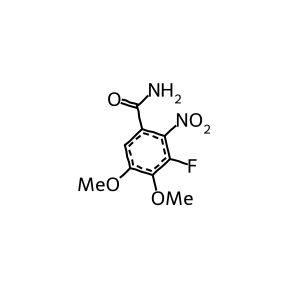 COc1cc(C(N)=O)c([N+](=O)[O-])c(F)c1OC